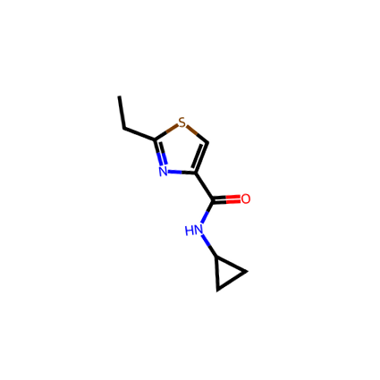 CCc1nc(C(=O)NC2CC2)cs1